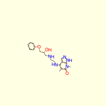 Cc1c(NCCNCC(O)COc2ccccc2)c2cn[nH]c2n(C)c1=O